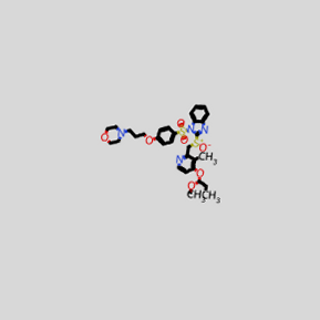 CCC(OC)Oc1ccnc(C[S+]([O-])c2nc3ccccc3n2S(=O)(=O)c2ccc(OCCCN3CCOCC3)cc2)c1C